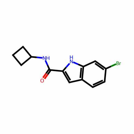 O=C(NC1CCC1)c1cc2ccc(Br)cc2[nH]1